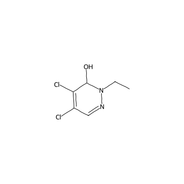 CCN1N=CC(Cl)=C(Cl)C1O